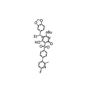 CCCCc1nc(=O)c(S(=O)(=O)c2ccc(-c3ccc(F)nc3C)cc2)c(O)n1C(CC)c1ccc2c(c1)OCO2